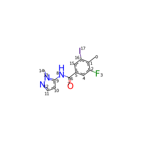 Cc1c(F)cc(C(=O)Nc2ccnn2C)cc1I